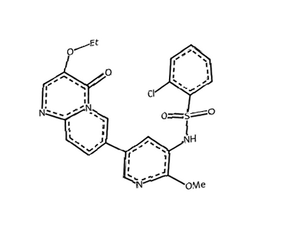 CCOc1cnc2ccc(-c3cnc(OC)c(NS(=O)(=O)c4ccccc4Cl)c3)cn2c1=O